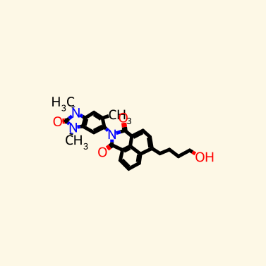 Cc1cc2c(cc1N1C(=O)c3cccc4c(CCCCO)ccc(c34)C1=O)n(C)c(=O)n2C